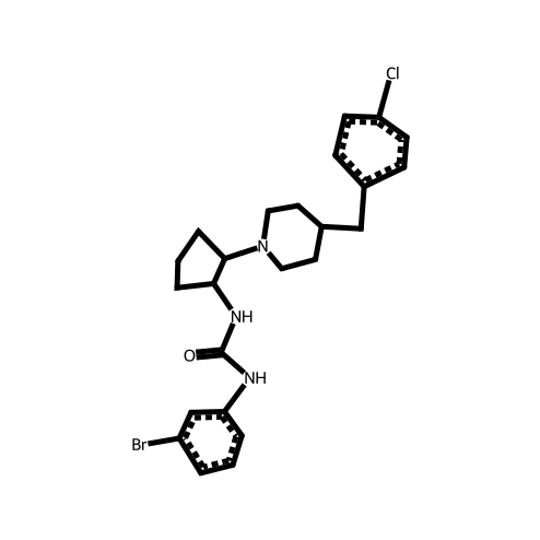 O=C(Nc1cccc(Br)c1)NC1CCCC1N1CCC(Cc2ccc(Cl)cc2)CC1